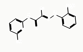 CC(=O)/C(=N\Nc1ccccc1C(=O)O)C(=O)Nc1cccc(O)n1